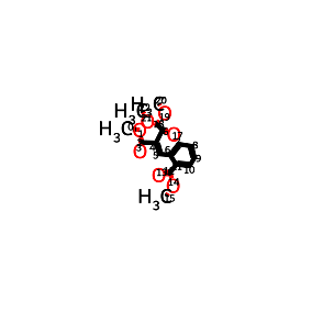 COC(=O)/C(=C/c1ccccc1C(=O)OC)C(=O)C(OC)OC